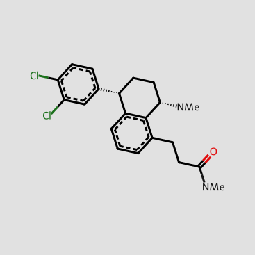 CNC(=O)CCc1cccc2c1[C@@H](NC)CC[C@H]2c1ccc(Cl)c(Cl)c1